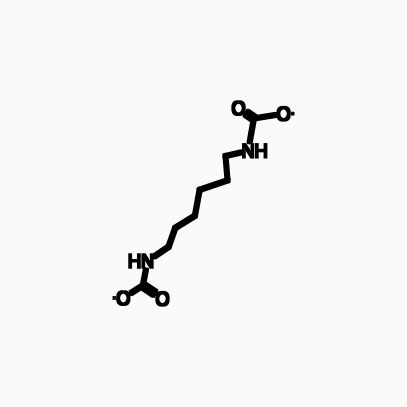 [O]C(=O)NCCCCCCNC([O])=O